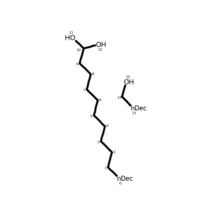 CCCCCCCCCCCCCCCCCCCC(O)O.CCCCCCCCCCCO